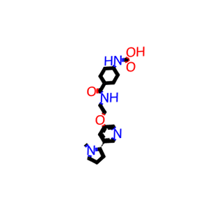 CN1CCC[C@H]1c1cncc(OCCNC(=O)C2CCC(NC(=O)O)CC2)c1